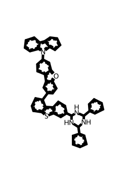 c1ccc(C2NC(c3ccccc3)NC(c3ccc4c(c3)sc3cccc(-c5ccc6oc7cc(-n8c9ccccc9c9ccccc98)ccc7c6c5)c34)N2)cc1